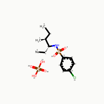 CC[C@H](C)[C@@H]([CH2][Na])NS(=O)(=O)c1ccc(Cl)cc1.O=S(=O)(O)O